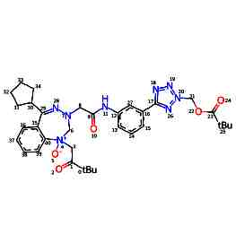 CC(C)(C)C(=O)C[N+]1([O-])CN(CC(=O)Nc2cccc(-c3nnn(COC(=O)C(C)(C)C)n3)c2)N=C(C2CCCC2)c2ccccc21